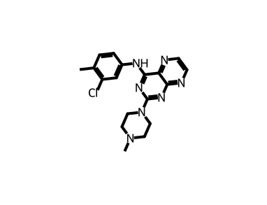 Cc1ccc(Nc2nc(N3CCN(C)CC3)nc3nccnc23)cc1Cl